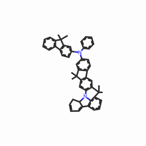 CC1(C)c2ccccc2-c2ccc(N(c3ccccc3)c3ccc4c(c3)C(C)(C)c3cc5c(cc3-4)C(C)(C)c3cccc4c3N5C3CC=CC=C43)cc21